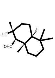 CC1(C)CCC[C@]2(C)[C@@H](C=O)[C@](C)(O)CC[C@@H]12